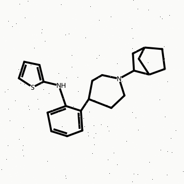 c1csc(Nc2ccccc2C2CCN(C3CC4CCC3C4)CC2)c1